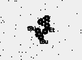 CCn1c2ccc(C(c3c(C)cccc3C)c3c(C)cccc3C)cc2c2cc(N3c4ccc(C(C)(C)C)cc4C(C)(C)c4cc(C(C)(C)C)ccc43)ccc21